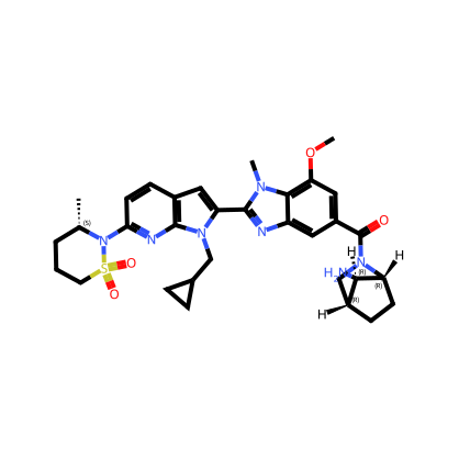 COc1cc(C(=O)N2C[C@H]3CC[C@@H]2[C@@H]3N)cc2nc(-c3cc4ccc(N5[C@@H](C)CCCS5(=O)=O)nc4n3CC3CC3)n(C)c12